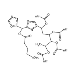 CCCCCCCCCCCCCC(=O)OC(c1cnco1)c1nc(C(CC(OC(=O)CCC)C(OC(=O)CCC)C(C)OC(=O)CCC)OC(=O)CCC)co1